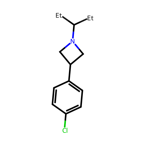 CCC(CC)N1CC(c2ccc(Cl)cc2)C1